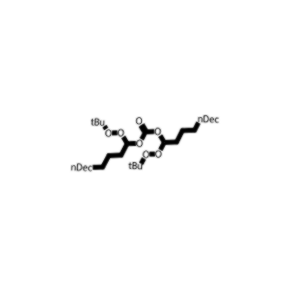 CCCCCCCCCCCCCC(OOC(C)(C)C)OC(=O)OC(CCCCCCCCCCCCC)OOC(C)(C)C